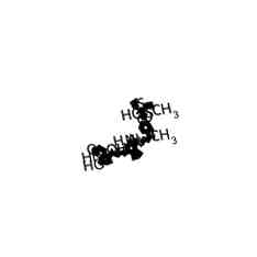 Cc1ccc([C@](O)(C(=O)O[C@H]2CC[C@H](N(C)CCCn3nnc4cc(CNC[C@H](O)c5ccc(O)c6[nH]c(=O)ccc56)c5c(c43)CCC5)CC2)c2cccs2)s1